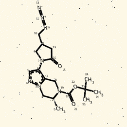 C[C@H]1Cn2ncc(N3CC(CN=[N+]=[N-])CC3=O)c2CN1C(=O)OC(C)(C)C